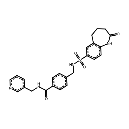 O=C1CCCc2cc(S(=O)(=O)NCc3ccc(C(=O)NCc4cccnc4)cc3)ccc2N1